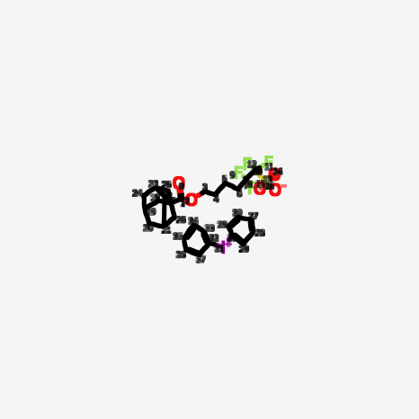 O=C(OCCCCC(F)(F)C(F)(F)S(=O)(=O)[O-])C12CC3CC(CC(C3)C1)C2.c1ccc([I+]c2ccccc2)cc1